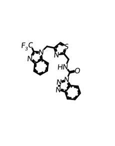 O=C(NCc1nc(Cn2c(C(F)(F)F)nc3ccccc32)cs1)n1nnc2ccccc21